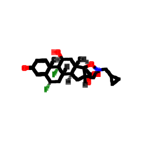 C[C@]12C=CC(=O)C=C1[C@@H](F)C[C@H]1[C@@H]3C[C@H]4CN(CC5CC5)O[C@@]4(C(=O)O)[C@@]3(C)C[C@H](O)[C@@]12F